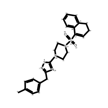 Cc1ccc(Cc2nsc(N3CCN(S(=O)(=O)C4=CCCc5ccccc54)CC3)n2)cc1